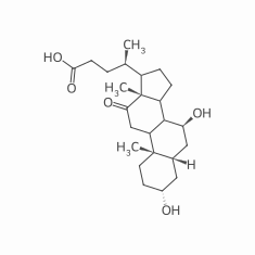 C[C@H](CCC(=O)O)C1CCC2C3C(CC(=O)[C@@]21C)[C@@]1(C)CC[C@@H](O)C[C@H]1C[C@@H]3O